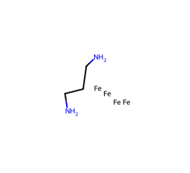 NCCCN.[Fe].[Fe].[Fe].[Fe]